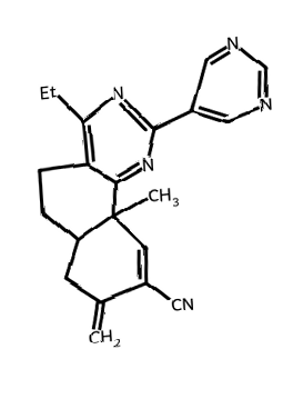 C=C1CC2CCc3c(CC)nc(-c4cncnc4)nc3C2(C)C=C1C#N